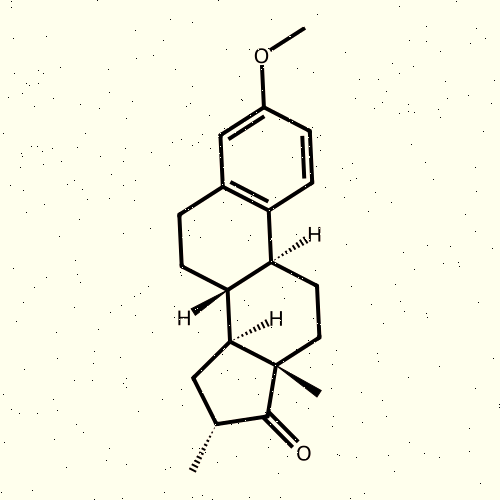 COc1ccc2c(c1)CC[C@@H]1[C@@H]2CC[C@]2(C)C(=O)[C@H](C)C[C@@H]12